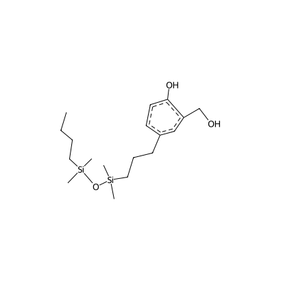 CCCC[Si](C)(C)O[Si](C)(C)CCCc1ccc(O)c(CO)c1